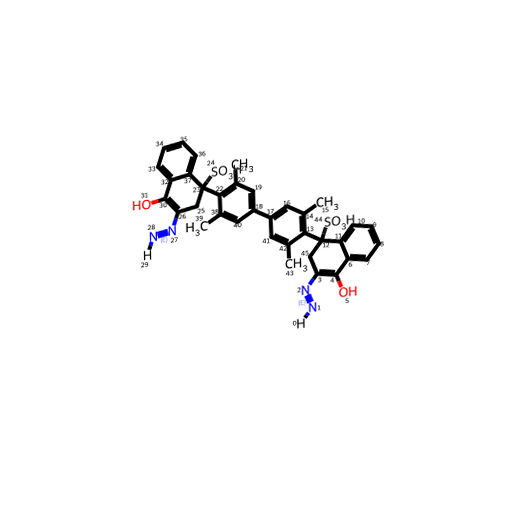 [H]/N=N/C1=C(O)c2ccccc2C(c2c(C)cc(-c3cc(C)c(C4(S(=O)(=O)O)CC(/N=N/[H])=C(O)c5ccccc54)c(C)c3)cc2C)(S(=O)(=O)O)C1